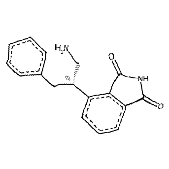 NC[C@@H](Cc1ccccc1)c1cccc2c1C(=O)NC2=O